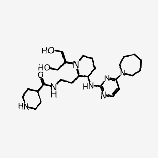 O=C(NCCC1C(Nc2nccc(N3CCCCCC3)n2)CCCN1C(CO)CO)C1CCNCC1